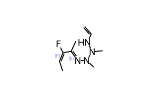 C=CNN(C)N(C)/N=C(C)/C(F)=C\C